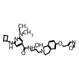 CCN(C)c1cc(C(=O)NC[C@H](O)CN2CCc3cc(OCc4cnco4)ccc3C2)cc(NC2CCC2)n1